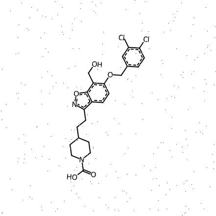 O=C(O)N1CCC(CCc2noc3c(CO)c(OCc4ccc(Cl)c(Cl)c4)ccc23)CC1